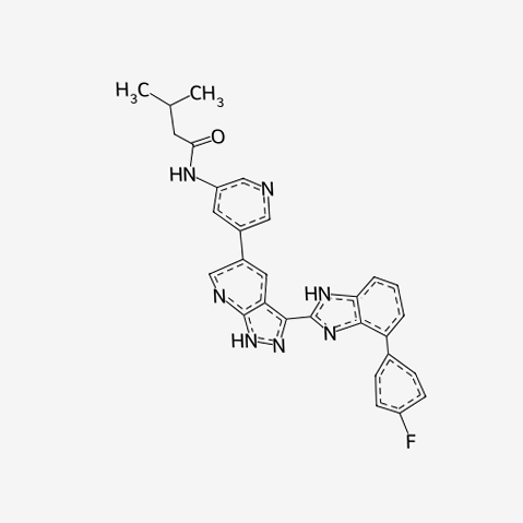 CC(C)CC(=O)Nc1cncc(-c2cnc3[nH]nc(-c4nc5c(-c6ccc(F)cc6)cccc5[nH]4)c3c2)c1